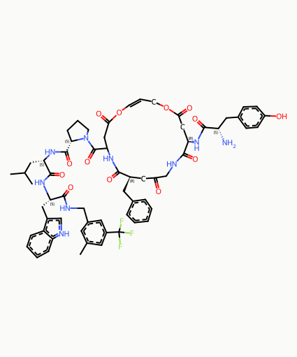 Cc1cc(CNC(=O)[C@H](Cc2c[nH]c3ccccc23)NC(=O)[C@H](CC(C)C)NC(=O)[C@@H]2CCCN2C(=O)C2CC(=O)OC=CCOC(=O)C[C@@H](NC(=O)[C@@H](N)Cc3ccc(O)cc3)C(=O)NCC(=O)C[C@@H](Cc3ccccc3)C(=O)N2)cc(C(F)(F)F)c1